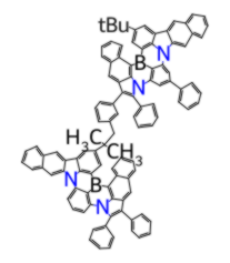 CC(C)(C)c1cc2c3c(c1)c1cc4ccccc4cc1n3-c1cc(-c3ccccc3)cc3c1B2c1c2ccccc2cc2c(-c4cccc(CC(C)(C)c5cc6c7c(c5)c5cc8ccccc8cc5n7-c5cccc7c5B6c5c6ccccc6cc6c(-c8ccccc8)c(-c8ccccc8)n-7c56)c4)c(-c4ccccc4)n-3c12